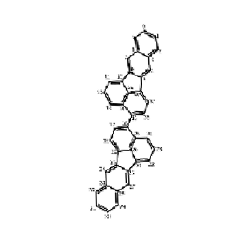 c1ccc2cc3c(cc2c1)-c1cccc2c(-c4ccc5c6c(cccc46)-c4cc6ccccc6cc4-5)ccc-3c12